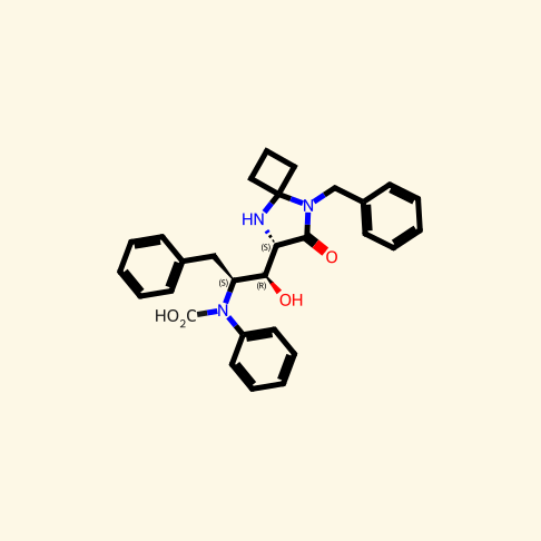 O=C(O)N(c1ccccc1)[C@@H](Cc1ccccc1)[C@H](O)[C@@H]1NC2(CCC2)N(Cc2ccccc2)C1=O